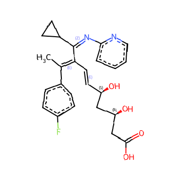 C/C(=C(/C=C/[C@@H](O)C[C@@H](O)CC(=O)O)C(=N/c1ccccn1)\C1CC1)c1ccc(F)cc1